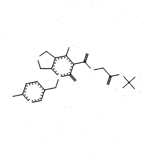 CC(C)(C)OC(=O)CNC(=O)c1c(O)c2c(n(Cc3ccc(Cl)nc3)c1=O)COC2